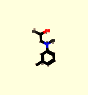 CCC(O)CN(CC)c1cc[c]c(C)c1